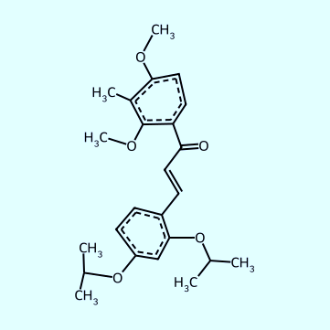 COc1ccc(C(=O)C=Cc2ccc(OC(C)C)cc2OC(C)C)c(OC)c1C